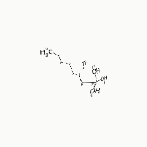 CCCCCCCC(O)(O)O.[Ti]